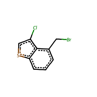 Clc1csc2cccc(CBr)c12